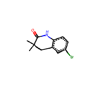 CC1(C)Cc2cc(Br)ccc2NC1=O